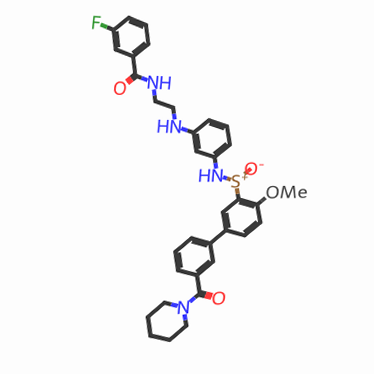 COc1ccc(-c2cccc(C(=O)N3CCCCC3)c2)cc1[S+]([O-])Nc1cccc(NCCNC(=O)c2cccc(F)c2)c1